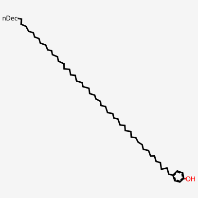 CCCCCCCCCCCCCCCCCCCCCCCCCCCCCCCCCCCCCCCCCCCCCCCCCCCCCCCCCCCCc1ccc(O)cc1